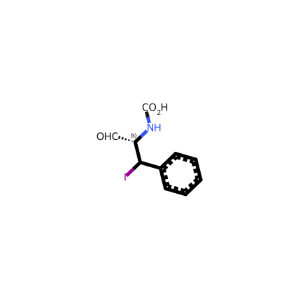 O=C[C@H](NC(=O)O)C(I)c1ccccc1